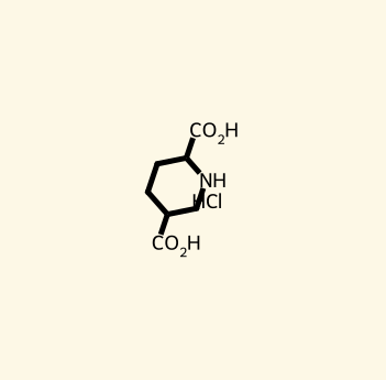 Cl.O=C(O)C1CCC(C(=O)O)NC1